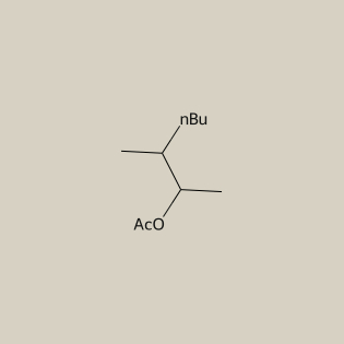 CCCCC(C)C(C)OC(C)=O